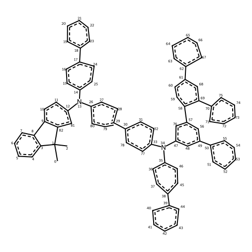 CC1(C)c2ccccc2-c2ccc(N(c3ccc(-c4ccccc4)cc3)c3ccc(-c4ccc(N(c5ccc(-c6ccccc6)cc5)c5cc(-c6ccccc6)cc(-c6ccc(-c7ccccc7)cc6-c6ccccc6)c5)cc4)cc3)cc21